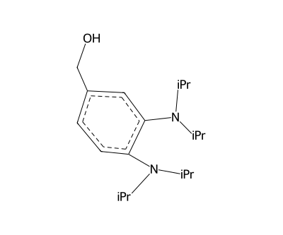 CC(C)N(c1ccc(CO)cc1N(C(C)C)C(C)C)C(C)C